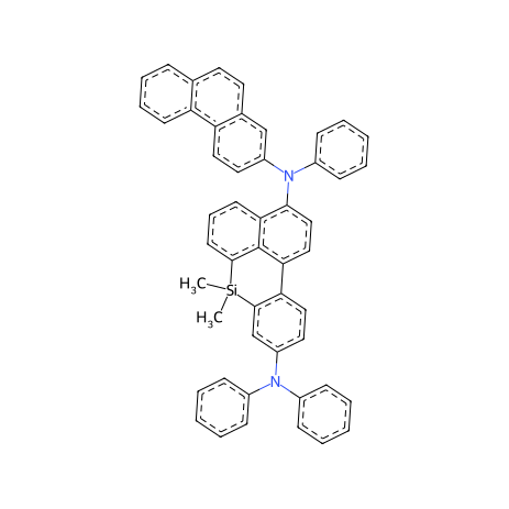 C[Si]1(C)c2cc(N(c3ccccc3)c3ccccc3)ccc2-c2ccc(N(c3ccccc3)c3ccc4c(ccc5ccccc54)c3)c3cccc1c23